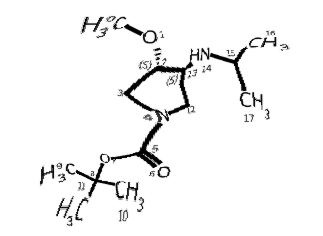 CO[C@H]1CN(C(=O)OC(C)(C)C)C[C@@H]1NC(C)C